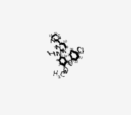 COc1ccc(Nc2nccc(C3=NCCS3)n2)cc1Oc1ccc(Cl)cc1